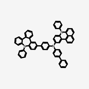 c1ccc(-c2ccc(N(c3ccc(-c4ccc5c(c4)-c4ccccc4-c4ccccc4N5c4ccccc4)cc3)c3ccc4c(c3)-c3cccc5cccc(c35)N4c3ccccc3)cc2)cc1